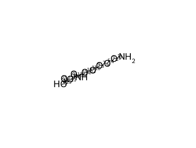 NCCOCCOCCOCCOCCOCCNC(=O)COCC(=O)O